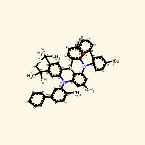 Cc1cc2c3c(c1)N(c1ccc(C(C)(C)C)cc1-c1ccccc1)c1cc(C(C)(C)C)ccc1B3c1cc3c(cc1N2c1cc(-c2ccccc2)ccc1C)C(C)(C)CCC3(C)C